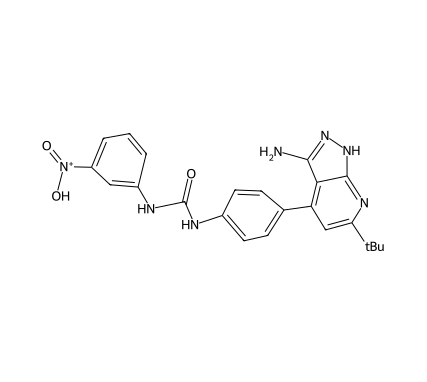 CC(C)(C)c1cc(-c2ccc(NC(=O)Nc3cccc([N+](=O)O)c3)cc2)c2c(N)n[nH]c2n1